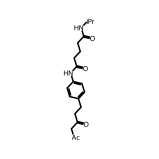 CC(=O)CC(=O)CCc1ccc(NC(=O)CCCC(=O)NC(C)C)cc1